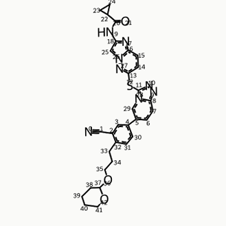 N#Cc1cc(-c2ccc3nnc(Sc4ccc5nc(NC(=O)C6CC6)cn5n4)n3c2)ccc1CCCOC1CCCCO1